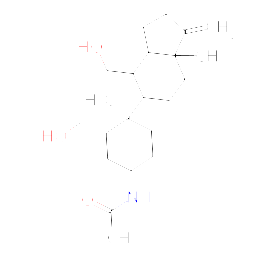 C=C1CCC2C(CO)C([C@@]3(C)CC[C@H](NC(C)=O)C[C@@H]3CO)CCC12C